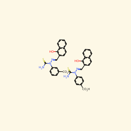 NC(=S)N(N=Cc1ccc2ccccc2c1O)c1ccc(C(=O)O)cc1.NC(=S)N(N=Cc1ccc2ccccc2c1O)c1cccc(C(=O)O)c1